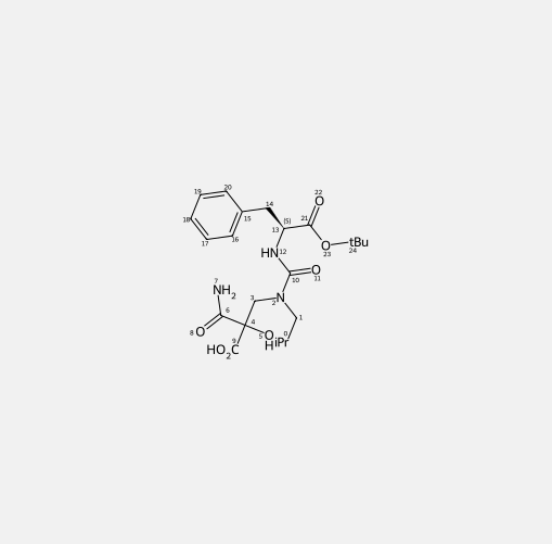 CC(C)CN(CC(O)(C(N)=O)C(=O)O)C(=O)N[C@@H](Cc1ccccc1)C(=O)OC(C)(C)C